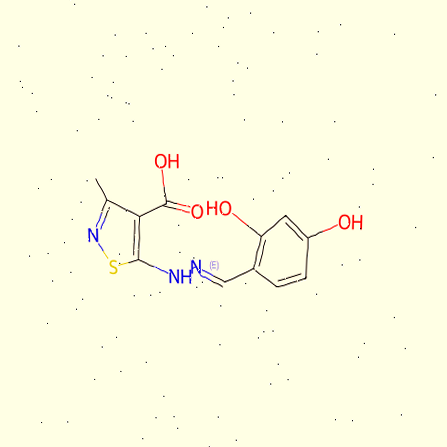 Cc1nsc(N/N=C/c2ccc(O)cc2O)c1C(=O)O